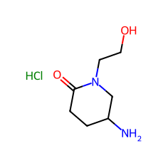 Cl.NC1CCC(=O)N(CCO)C1